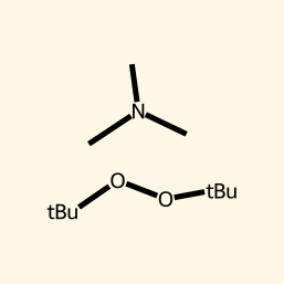 CC(C)(C)OOC(C)(C)C.CN(C)C